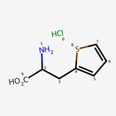 Cl.NC(Cc1cccs1)C(=O)O